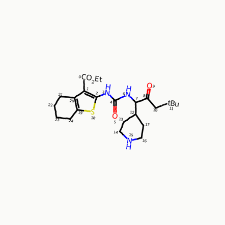 CCOC(=O)c1c(NC(=O)NC(C(=O)CC(C)(C)C)C2CCNCC2)sc2c1CCCC2